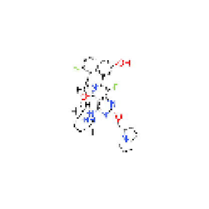 C#Cc1c(F)ccc2cc(O)cc(-c3nc4c5c(nc(OCC6CCC7CCCN76)nc5c3F)N3C[C@H]5CC[C@H](N5)[C@H]3CO4)c12